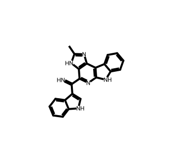 Cc1nc2c([nH]1)c(C(=N)c1c[nH]c3ccccc13)nc1[nH]c3ccccc3c12